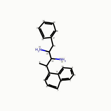 CC(c1cccc2ccccc12)C(N)C(N)Cc1ccccc1